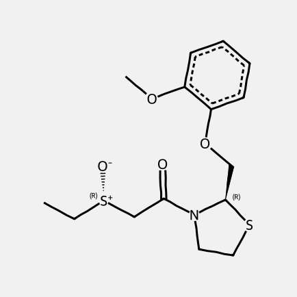 CC[S@+]([O-])CC(=O)N1CCS[C@@H]1COc1ccccc1OC